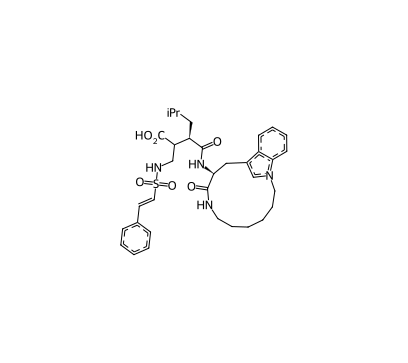 CC(C)C[C@@H](C(=O)N[C@H]1Cc2cn(c3ccccc23)CCCCCCNC1=O)C(CNS(=O)(=O)C=Cc1ccccc1)C(=O)O